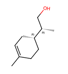 CC1=CC[C@H]([C@@H](C)CO)CC1